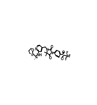 C[C@@H](Nc1cc(CN2C(=O)N(c3ccc(S(=O)(=O)C(F)(F)F)cc3)C(=O)C2(C)C)ccn1)[C@@H]1CCCO1